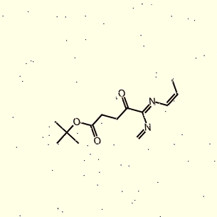 C=N/C(=N\C=C/C)C(=O)CCC(=O)OC(C)(C)C